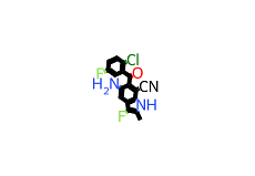 Cc1[nH]c2c(C#N)c(C(=O)c3cc(F)ccc3Cl)c(N)cc2c1F